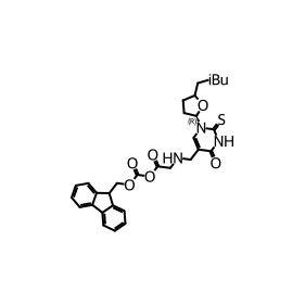 CCC(C)CC1CC[C@H](n2cc(CNCC(=O)OC(=O)OCC3c4ccccc4-c4ccccc43)c(=O)[nH]c2=S)O1